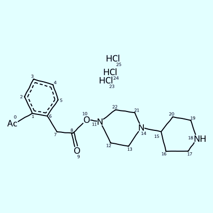 CC(=O)c1ccccc1CC(=O)ON1CCN(C2CCNCC2)CC1.Cl.Cl.Cl